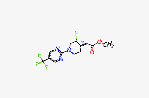 COC(=O)/C=C1\CCN(c2ncc(C(F)(F)F)cn2)CC1F